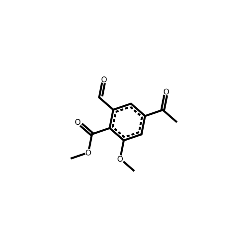 COC(=O)c1c(C=O)cc(C(C)=O)cc1OC